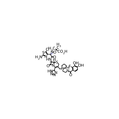 CC(C)(O/N=C(\C(=O)N[C@@H]1C(=O)N2C(c3nnn[nH]3)=C(C[N+]3(CCNC(=O)c4ccc(O)c(O)c4F)CCCC3)CS[C@H]12)c1nc(N)sc1Cl)C(=O)O